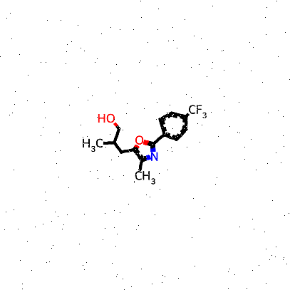 Cc1nc(-c2ccc(C(F)(F)F)cc2)oc1CC(C)CO